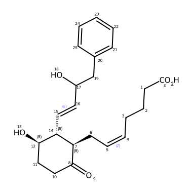 O=C(O)CCC/C=C\C[C@H]1C(=O)CC[C@@H](O)[C@@H]1/C=C/C(O)Cc1ccccc1